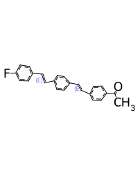 CC(=O)c1ccc(/C=C/c2ccc(/C=C/c3ccc(F)cc3)cc2)cc1